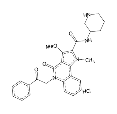 COc1c(C(=O)NC2CCCNC2)n(C)c2c1c(=O)n(CC(=O)c1ccccc1)c1ccccc21.Cl